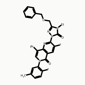 CCn1c(COCc2ccccc2)nn(-c2nc3c(C(C)C)cn(-c4cc(C)ccc4F)c(=O)c3cc2F)c1=O